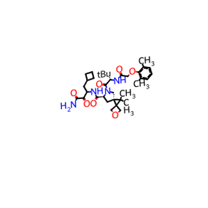 Cc1cccc(C)c1OCC(=O)N[C@H](C(=O)N1C[C@]2(C[C@H]1C(=O)NC(CC1CCC1)C(=O)C(N)=O)C(C)(C)C21COC1)C(C)(C)C